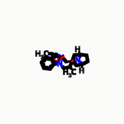 CCOCC[C@H]1C[C@H]2CC[C@@H](C1)N2C[C@@H](C)Cn1ncc2ccccc21